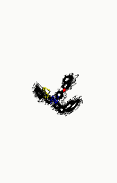 c1ccc2cc(-c3ccc(N(c4ccc5c(c4)sc4ccccc45)c4ccc5ccc6c7ccccc7ccc6c5c4)cc3)ccc2c1